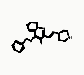 Cc1c(/C=C/C2CCNCC2)nc2ccccc2c1OCc1ccccc1